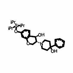 CC(C)[Si](Oc1ccc2c(c1)OC[C@@H](N1CCC(O)(c3ccccc3)CC1)[C@@H]2O)(C(C)C)C(C)C